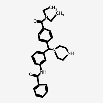 CCN(CC)C(=O)c1ccc(C(c2cccc(NC(=O)c3ccccc3)c2)N2CCNCC2)cc1